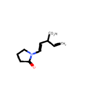 C=CC(C=CN1CCCC1=O)C(=O)O